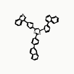 c1cc(-c2cc(-c3ccc(-c4cncc5ccccc45)cc3)nc(-c3ccc(-c4ccc5ccccc5c4)cc3)n2)cc(-c2cccc3ccccc23)c1